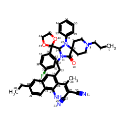 CCCN1CCC2(CC1)C(=O)N(CCc1cc3cc(CC)ccc3c(N)c1C(C)=C(C#N)C#N)C(C1(c3ccc(F)cc3)OCCO1)N2c1ccccc1